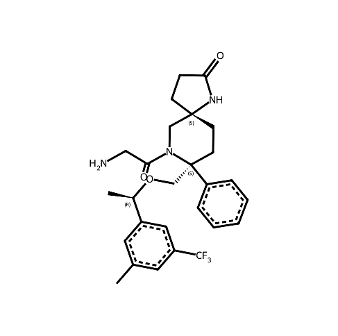 Cc1cc([C@@H](C)OC[C@@]2(c3ccccc3)CC[C@]3(CCC(=O)N3)CN2C(=O)CN)cc(C(F)(F)F)c1